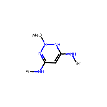 CCNC1=NN(OC)NC(NC(C)C)=C1